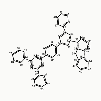 c1ccc(-c2cc(-c3ccc(-c4nc(-c5ccccc5)nc(-c5ccccc5)n4)cc3)cc(-c3ncnc4c3Cc3ccccc3-4)c2)cc1